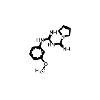 COc1cccc(NC(=N)NC(=N)N2CC=CC2)c1